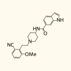 COc1cccc(C#N)c1CCN1CCC(NC(=O)c2ccc3cc[nH]c3c2)CC1